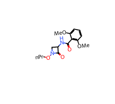 CCCON1CC(NC(=O)c2c(OC)cccc2OC)C1=O